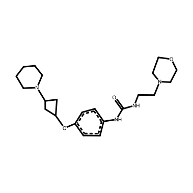 O=C(NCCN1CCOCC1)Nc1ccc(OC2CC(N3CCCCC3)C2)cc1